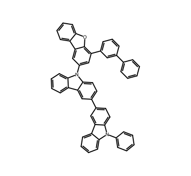 c1ccc(-c2cccc(-c3cc(-n4c5ccccc5c5cc(-c6ccc7c(c6)c6ccccc6n7-c6ccccc6)ccc54)cc4c3oc3ccccc34)c2)cc1